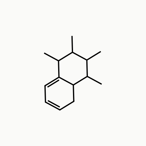 CC1C2=CC=CCC2C(C)C(C)C1C